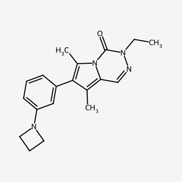 CCn1ncc2c(C)c(-c3cccc(N4CCC4)c3)c(C)n2c1=O